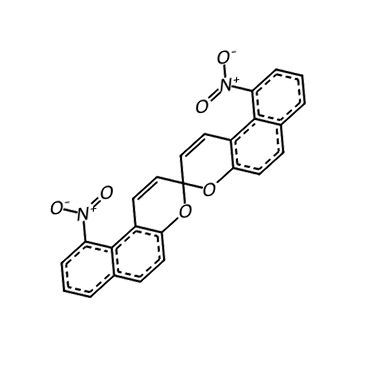 O=[N+]([O-])c1cccc2ccc3c(c12)C=CC1(C=Cc2c(ccc4cccc([N+](=O)[O-])c24)O1)O3